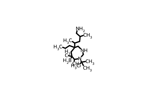 BC1(C)CC(CCC)(C(C)CC(C)CN)CNCN(C(C)(C)C)C1C